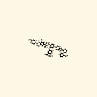 Cc1nc2[nH]cc(F)c2cc1Oc1cc(N2CCC3(CC2)CN(C2CCC[C@H]2c2ccccc2C(C)C)C3)ccc1C(=O)NS(=O)(=O)c1cc2c(c([N+](=O)[O-])c1)N[C@@H]([C@H]1CC[C@](C)(O)CC1)CO2